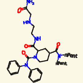 CCCCCN(CCCCC)C(=O)C1CCN(C(=O)N(c2ccccc2)c2ccccc2)C(C(=O)NCCNCC(N)=O)C1